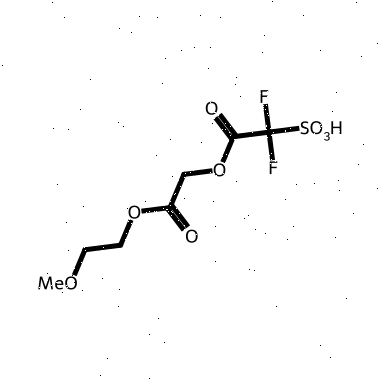 COCCOC(=O)COC(=O)C(F)(F)S(=O)(=O)O